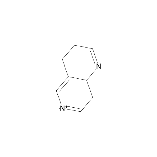 C1=NC2CC=[N+]C=C2CC1